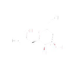 CS[C@@H]1C[C@@H](O)[C@@H](O)[C@@H](C[C@H](C)O)O1